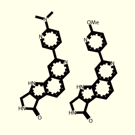 CN(C)c1ccc(-c2cc3c(ccc4c5c([nH]c43)CNC5=O)cn2)cn1.COc1ccc(-c2cc3c(ccc4c5c([nH]c43)CNC5=O)cn2)cn1